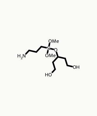 CO[Si](CCCN)(OC)OC(CCO)CCO